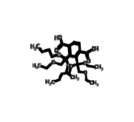 CCCCOC(COCC)(OCC)c1c(C(=O)O)ccc(C(=O)O)c1C(COCC)(OCC)OCCCC